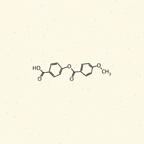 COc1ccc(C(=O)Oc2ccc(C(=O)O)cc2)cc1